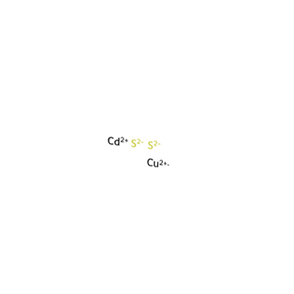 [Cd+2].[Cu+2].[S-2].[S-2]